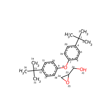 CC(C)(C)c1ccc(Oc2ccc(C(C)(C)C)cc2)cc1.OCC1CO1